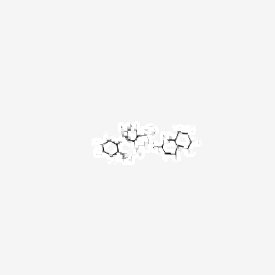 Cc1c(C(=O)Nc2ccc3ccccc3n2)nnn1-c1ccccc1Br